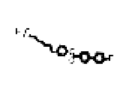 CCCCCCCC[C@H]1CC[C@H](OC(=O)c2ccc(-c3ccc(F)cc3)cc2)CC1